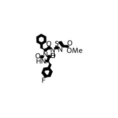 COC(=O)c1csc(NC(=O)[C@H](CC2CCCCC2)N2C(=O)N[C@H](Cc3ccc(F)cc3)C2=O)n1